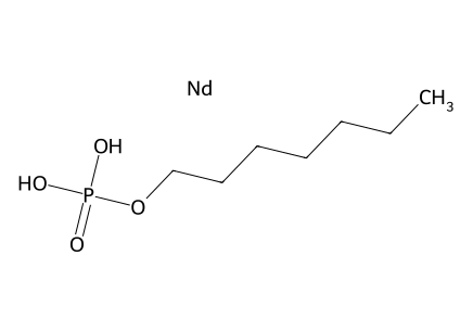 CCCCCCCOP(=O)(O)O.[Nd]